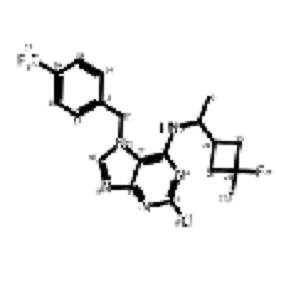 CC(Nc1nc(Cl)nc2ncn(Cc3ccc(C(F)(F)F)cc3)c12)C1CC(F)(F)C1